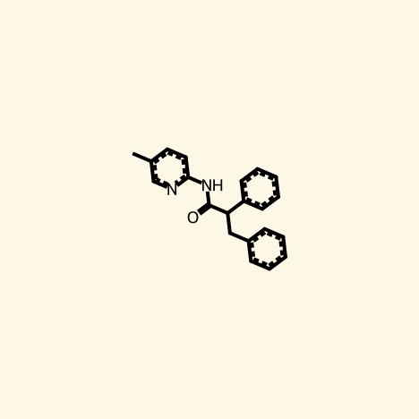 Cc1ccc(NC(=O)C(Cc2ccccc2)c2ccccc2)nc1